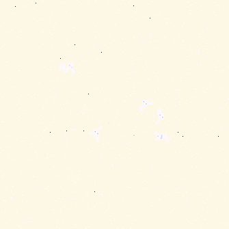 CN(CC1CCOCC1)c1c(OC2CCC(N)CC2)ccc2c1CC(C)(C)c1c(N)ncnc1-2